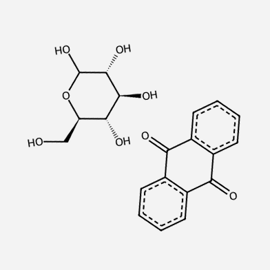 O=C1c2ccccc2C(=O)c2ccccc21.OC[C@H]1OC(O)[C@H](O)[C@@H](O)[C@@H]1O